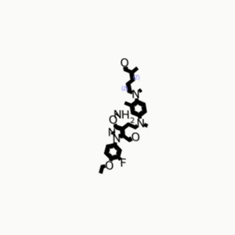 CCOc1ccc(-n2nc(ON)c(CCN(C)c3ccc(N(C)/C=C\C=C(\C)C=O)c(C)c3)c2C=O)cc1F